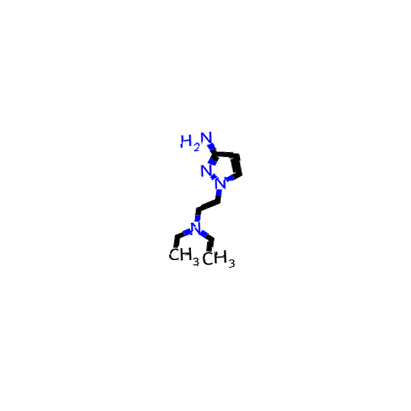 CCN(CC)CCn1ccc(N)n1